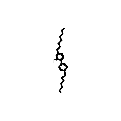 CCCCCCCCc1ccc(-c2ccc(CCCCCCC)cc2)c(F)c1